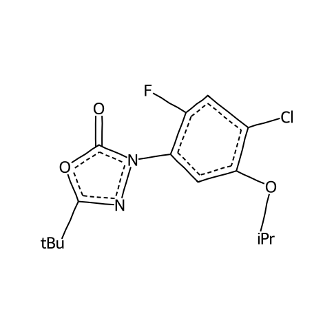 CC(C)Oc1cc(-n2nc(C(C)(C)C)oc2=O)c(F)cc1Cl